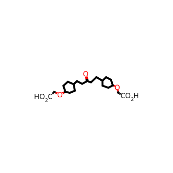 O=C(O)COC1CCC(CCC(=O)CCC2CCC(OCC(=O)O)CC2)CC1